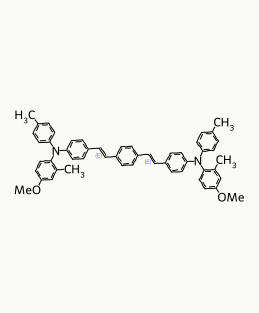 COc1ccc(N(c2ccc(C)cc2)c2ccc(/C=C/c3ccc(/C=C/c4ccc(N(c5ccc(C)cc5)c5ccc(OC)cc5C)cc4)cc3)cc2)c(C)c1